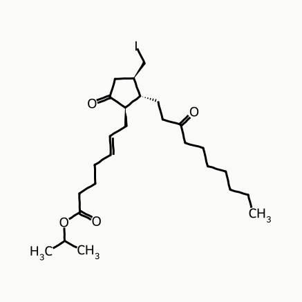 CCCCCCCC(=O)CC[C@H]1[C@H](CI)CC(=O)[C@@H]1CC=CCCCC(=O)OC(C)C